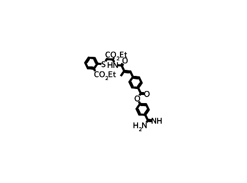 CCOC(=O)c1ccccc1SC[C@H](NC(=O)/C(C)=C/c1ccc(C(=O)Oc2ccc(C(=N)N)cc2)cc1)C(=O)OCC